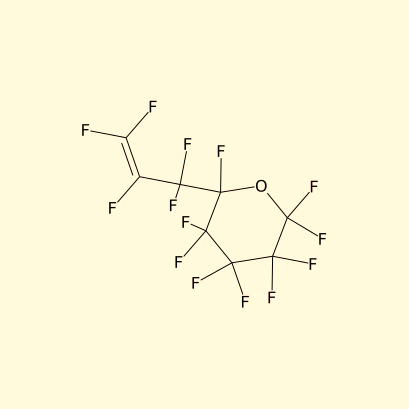 FC(F)=C(F)C(F)(F)C1(F)OC(F)(F)C(F)(F)C(F)(F)C1(F)F